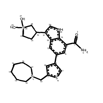 NC(=O)c1cc(-c2csc(CN3CCCCCC3)c2)cc2c(C3CCS(O)(O)C3)c[nH]c12